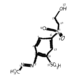 C/N=N/c1ccc(S(=O)(=O)CCO)cc1S(=O)(=O)O